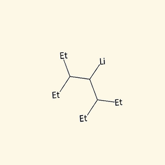 [Li][CH](C(CC)CC)C(CC)CC